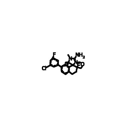 CN1C(=O)C2(N=C1N)c1cc(-c3cc(F)cc(Cl)c3)ccc1CCC21CCOCC1